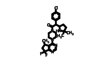 CC1CC(F)(F)c2ncnc(N3CCN(C(=O)C(c4ccc(Cl)cc4)C4CCC(C)(C)N4)CC3)c21